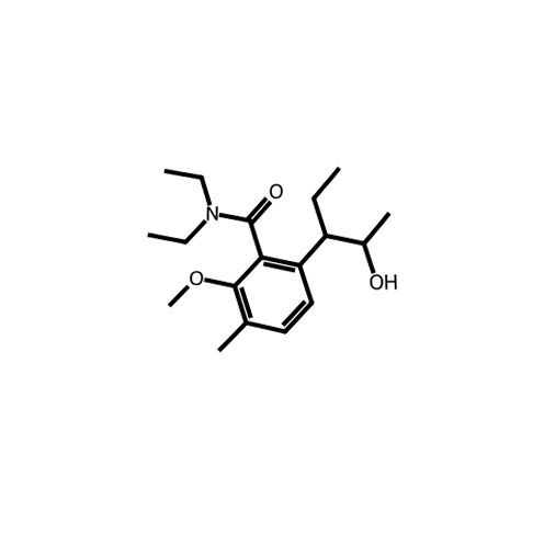 CCC(c1ccc(C)c(OC)c1C(=O)N(CC)CC)C(C)O